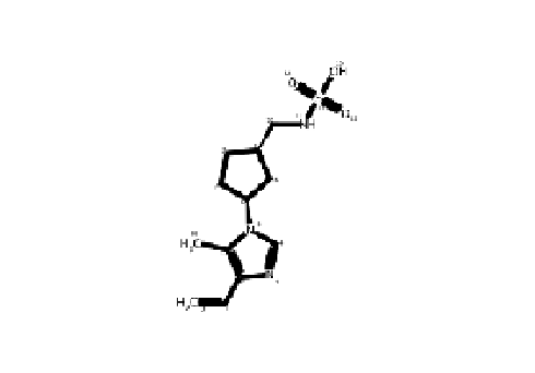 C=Cc1ncn([C@H]2CC[C@@H](CNS(=O)(=O)O)C2)c1C